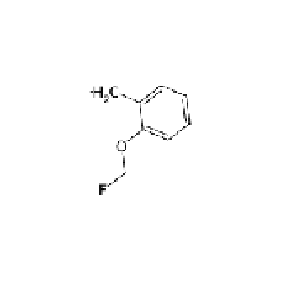 [CH2]c1ccccc1OCF